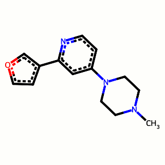 CN1CCN(c2ccnc(-c3ccoc3)c2)CC1